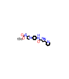 CN(C(=O)OC(C)(C)C)C1CCN(c2ccc(NC(=O)C3=NN=C(c4ccccn4)C3)cc2)C1